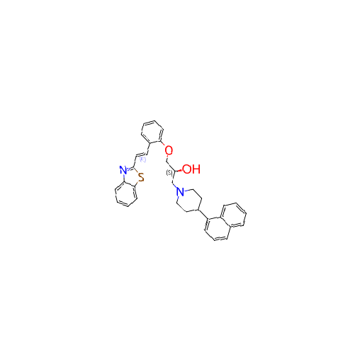 O[C@H](COc1ccccc1/C=C/c1nc2ccccc2s1)CN1CCC(c2cccc3ccccc23)CC1